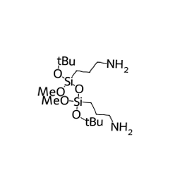 CO[Si](CCCN)(OC(C)(C)C)O[Si](CCCN)(OC)OC(C)(C)C